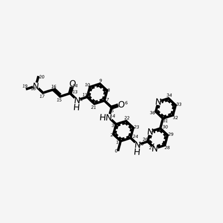 Cc1cc(NC(=O)c2cccc(NC(=O)C=CCN(C)C)c2)ccc1Nc1nccc(-c2cccnc2)n1